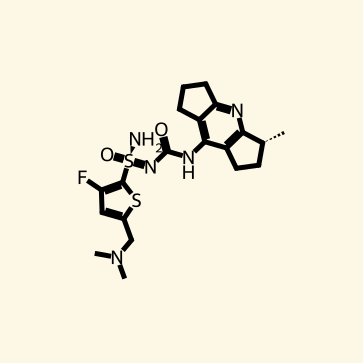 C[C@@H]1CCc2c1nc1c(c2NC(=O)N=[S@@](N)(=O)c2sc(CN(C)C)cc2F)CCC1